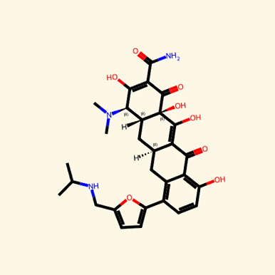 CC(C)NCc1ccc(-c2ccc(O)c3c2C[C@H]2C[C@@H]4[C@@H](N(C)C)C(O)=C(C(N)=O)C(=O)[C@]4(O)C(O)=C2C3=O)o1